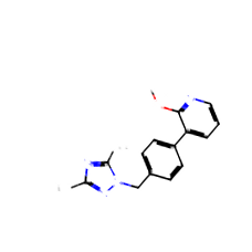 CCCCc1nc(C(C)C)nn1Cc1ccc(-c2cccnc2OC(=O)O)cc1